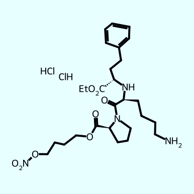 CCOC(=O)[C@H](CCc1ccccc1)N[C@@H](CCCCN)C(=O)N1CCC[C@H]1C(=O)OCCCCO[N+](=O)[O-].Cl.Cl